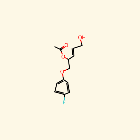 CC(=O)OC(C=CCO)COc1ccc(F)cc1